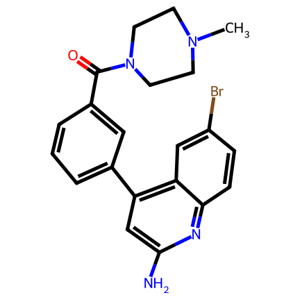 CN1CCN(C(=O)c2cccc(-c3cc(N)nc4ccc(Br)cc34)c2)CC1